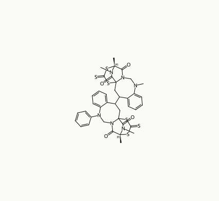 CN1CN2C(=O)[C@@]3(C)SC(=S)SC2(CC(C2CC45SC(=S)S[C@](C)(C(=O)N4CN(c4ccccc4)c4ccccc42)N(C)C5=O)c2ccccc21)C(=O)N3C